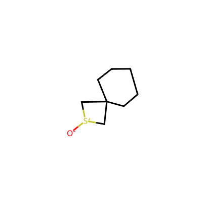 [O-][S+]1CC2(CCCCC2)C1